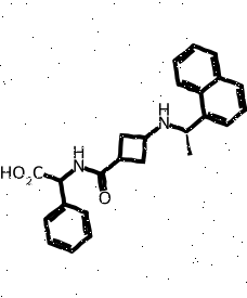 C[C@@H](NC1CC(C(=O)NC(C(=O)O)c2ccccc2)C1)c1cccc2ccccc12